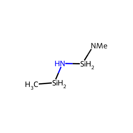 CN[SiH2]N[SiH2]C